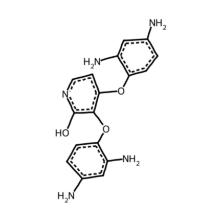 Nc1ccc(Oc2ccnc(O)c2Oc2ccc(N)cc2N)c(N)c1